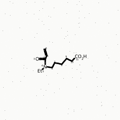 C=CC(=O)N(CC)CCCCCC(=O)O